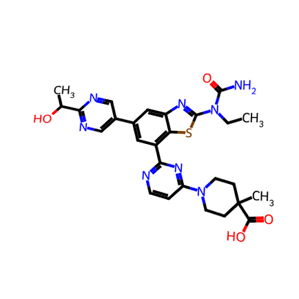 CCN(C(N)=O)c1nc2cc(-c3cnc(C(C)O)nc3)cc(-c3nccc(N4CCC(C)(C(=O)O)CC4)n3)c2s1